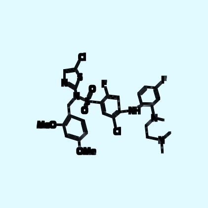 COc1ccc(CN(c2ncc(Cl)s2)S(=O)(=O)c2cc(Cl)c(Nc3ccc(F)cc3N(C)CCN(C)C)cc2F)c(OC)c1